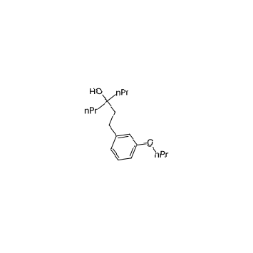 CCCOc1cccc(CCC(O)(CCC)CCC)c1